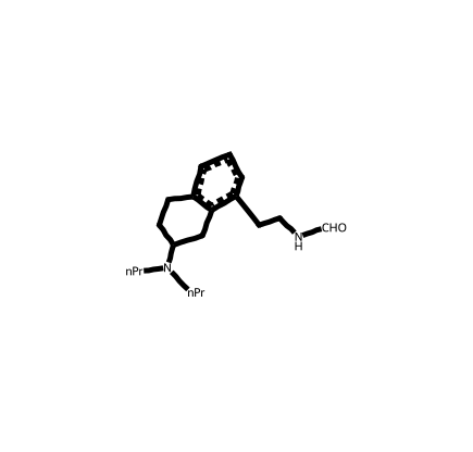 CCCN(CCC)C1CCc2cccc(CCNC=O)c2C1